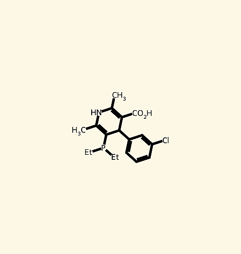 CCP(CC)C1=C(C)NC(C)=C(C(=O)O)C1c1cccc(Cl)c1